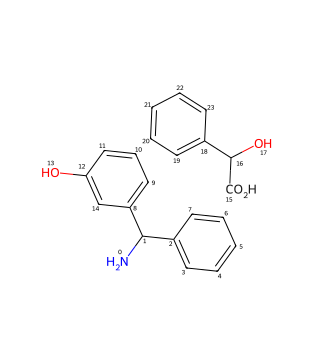 NC(c1ccccc1)c1cccc(O)c1.O=C(O)C(O)c1ccccc1